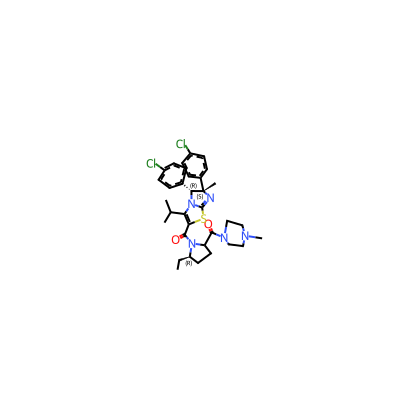 CC[C@@H]1CCC(C(=O)N2CCN(C)CC2)N1C(=O)C1=C(C(C)C)N2C(=N[C@@](C)(c3ccc(Cl)cc3)[C@H]2c2ccc(Cl)cc2)S1